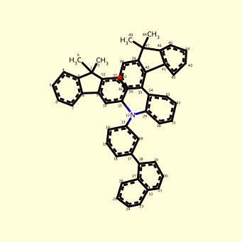 CC1(C)c2ccccc2-c2cc(N(c3cccc(-c4cccc5ccccc45)c3)c3ccccc3-c3cccc4c3-c3ccccc3C4(C)C)ccc21